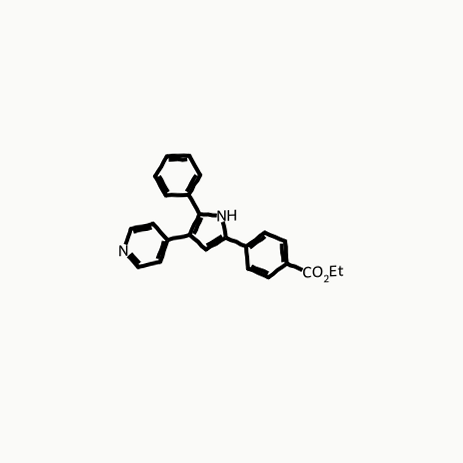 CCOC(=O)c1ccc(-c2cc(-c3ccncc3)c(-c3ccccc3)[nH]2)cc1